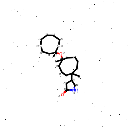 CC1(OC2(C)CCCCC(C)(C3CNC(=O)C3)CCC2)CCCCCCCC1